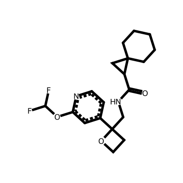 O=C(NCC1(c2ccnc(OC(F)F)c2)CCO1)C1CC12CCCCC2